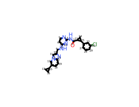 O=C(Nc1nccc(NCc2cn3cc(C4CC4)ccc3n2)n1)C1CC1c1cccc(Cl)c1